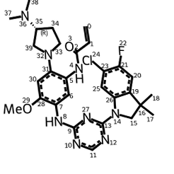 C=CC(=O)Nc1cc(Nc2ncnc(N3CC(C)(C)c4cc(F)c(Cl)cc43)n2)c(OC)cc1N1CC[C@@H](N(C)C)C1